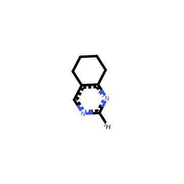 [2H]c1ncc2c(n1)CCCC2